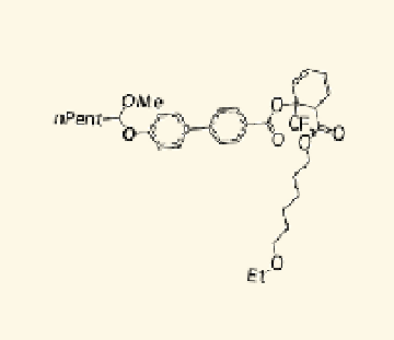 CCCCCC(OC)Oc1ccc(-c2ccc(C(=O)OC3(C(F)(F)F)C=CC=CC3C(=O)OCCCCCCOCC)cc2)cc1